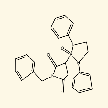 C=C1CC(P2(=O)N(c3ccccc3)CCN2c2ccccc2)C(=O)N1Cc1ccccc1